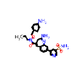 CCCN(OCc1ccc(N)cc1)C(=O)C1=Cc2ccc(-c3cncc(S(N)(=O)=O)c3)cc2N=C(N)C1